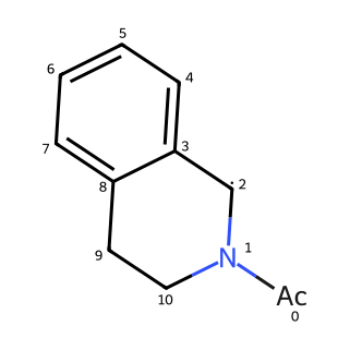 CC(=O)N1[CH]c2ccccc2CC1